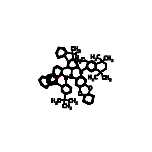 Cc1cc2c(cc1N1c3cc4c(cc3B3c5c1cc1c(c5-c5ccc6c(sc7ccccc76)c5N3c3ccc(C(C)(C)C)cc3-c3ccccc3)-c3ccccc3C1(C)C)Oc1ccccc1O4)C(C)(C)CCC2(C)C